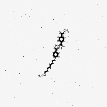 COCCCCCCCOc1ccc(C(=O)NNC(=O)c2ccc(C(=O)OC)cc2)cc1